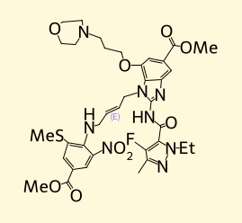 CCn1nc(C)c(F)c1C(=O)Nc1nc2cc(C(=O)OC)cc(OCCCN3CCOCC3)c2n1C/C=C/CNc1c(SC)cc(C(=O)OC)cc1[N+](=O)[O-]